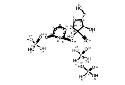 C#C[C@@]1(O)[C@H](O)[C@@H](CO)O[C@H]1n1ccc(=O)[nH]c1=O.O=P(O)(O)O.O=P(O)(O)O.O=P(O)(O)O